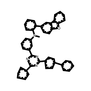 CN(c1cccc(-c2nc(-c3ccccc3)nc(-c3ccc(-c4ccccc4)cc3)n2)c1)c1ccccc1-c1ccc2oc3ccccc3c2c1